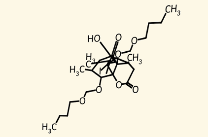 CCCCOCOC1C(C)CCC2(OCOCCCC)C3(C)CC(=O)OC12C1(I)C(C)=C(O)C(=O)C31